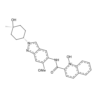 COc1cc2nn([C@H]3CC[C@](C)(O)CC3)cc2cc1NC(=O)c1ccc2ccccc2[n+]1O